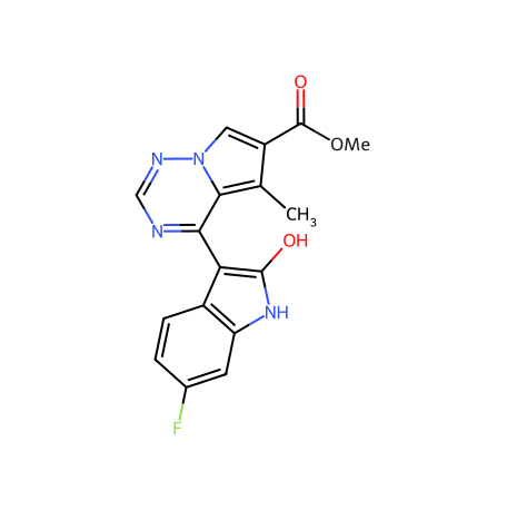 COC(=O)c1cn2ncnc(-c3c(O)[nH]c4cc(F)ccc34)c2c1C